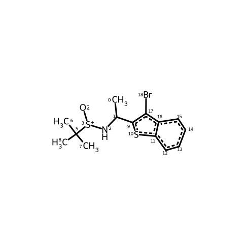 CC(N[S+]([O-])C(C)(C)C)c1sc2ccccc2c1Br